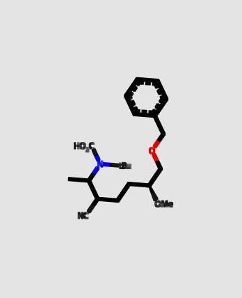 CO[C@@H](CCC(C#N)C(C)N(C(=O)O)C(C)(C)C)COCc1ccccc1